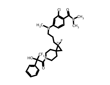 CN(C)C(=O)c1ccc(N(C)CCC[C@]2(F)CC23CCN(C(=O)C(O)(c2ccccc2)C(F)(F)F)CC3)cc1Cl